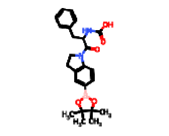 CC1(C)OB(c2ccc3c(c2)CCN3C(=O)[C@@H](Cc2ccccc2)NC(=O)O)OC1(C)C